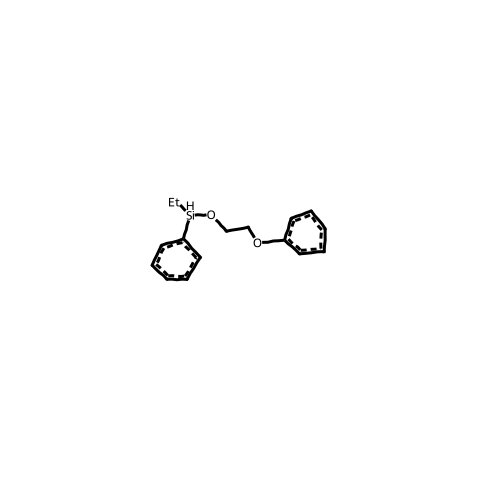 CC[SiH](OCCOc1ccccc1)c1ccccc1